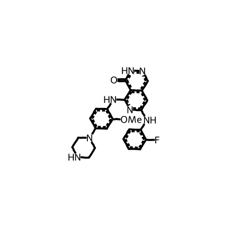 COc1cc(N2CCNCC2)ccc1Nc1nc(Nc2ccccc2F)cc2cn[nH]c(=O)c12